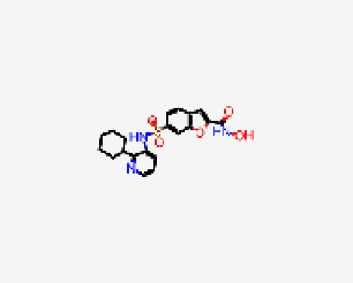 O=C(NO)c1cc2ccc(S(=O)(=O)Nc3cccnc3C3CCCCC3)cc2o1